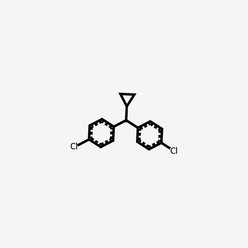 Clc1ccc([C](c2ccc(Cl)cc2)C2CC2)cc1